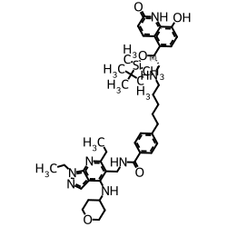 CCc1nc2c(cnn2CC)c(NC2CCOCC2)c1CNC(=O)c1ccc(CCCCCNC[C@H](O[Si](C)(C)C(C)(C)C)c2ccc(O)c3[nH]c(=O)ccc23)cc1